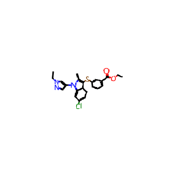 CCOC(=O)c1cccc(SC2=C(C)N(c3cnn(CC)c3)C3=CC(Cl)=CCC32)c1